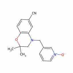 CC1(C)CN(Cc2ccc[n+]([O-])c2)c2cc(C#N)ccc2O1